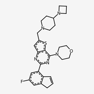 Fc1cc2c(c(-c3nc(N4CCOCC4)c4sc(CN5CCC(N6CCC6)CC5)cc4n3)c1)C=CC2